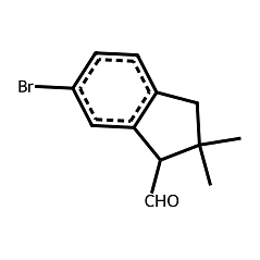 CC1(C)Cc2ccc(Br)cc2C1C=O